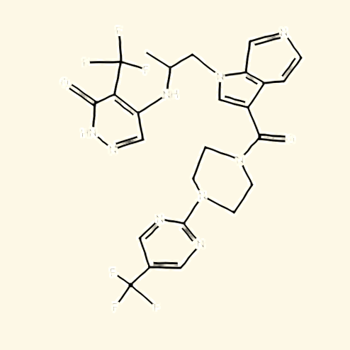 CC(Cn1cc(C(=O)N2CCN(c3ncc(C(F)(F)F)cn3)CC2)c2ccncc21)Nc1cn[nH]c(=O)c1C(F)(F)F